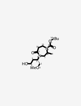 COC[C@H](CCO)N1CC(C)N(C(=O)OC(C)(C)C)CCC1=O